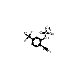 N#Cc1ccc(C(F)(F)F)cc1NS(N)(=O)=O